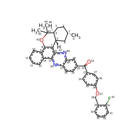 C[C@H]1CC[C@H]2[C@H](C1)c1c(c3ccccc3c3nc4ccc(C(=O)c5ccc(OCc6ccccc6F)cc5)cc4nc13)OC2(C)C